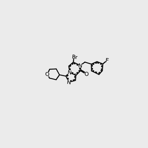 O=c1c2cnc(C3CCOCC3)n2cc(Br)n1Cc1cccc(F)c1